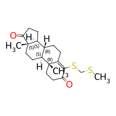 CSCSC1=C2CC[C@@H]3[C@H](CC[C@]4(C)C(=O)CC[C@@H]34)[C@@]2(C)CCC1=O